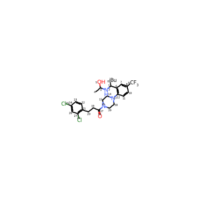 CCC(C)C(NC(C)O)c1cc(C(F)(F)F)ccc1N1CCN(C(=O)CCc2ccc(Cl)cc2Cl)CC1